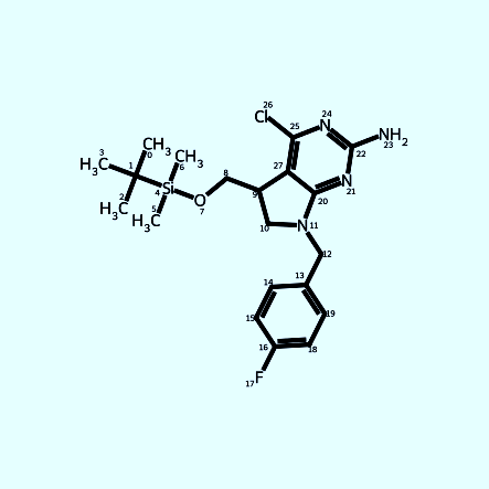 CC(C)(C)[Si](C)(C)OCC1CN(Cc2ccc(F)cc2)c2nc(N)nc(Cl)c21